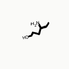 CCC(N)CCCO